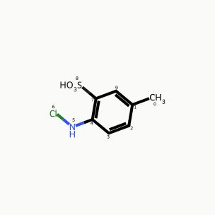 Cc1ccc(NCl)c(S(=O)(=O)O)c1